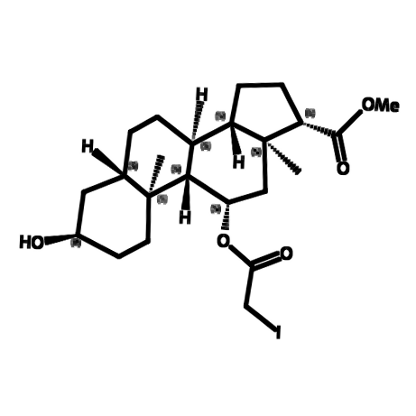 COC(=O)[C@H]1CC[C@H]2[C@@H]3CC[C@H]4C[C@H](O)CC[C@]4(C)[C@H]3[C@@H](OC(=O)CI)C[C@]12C